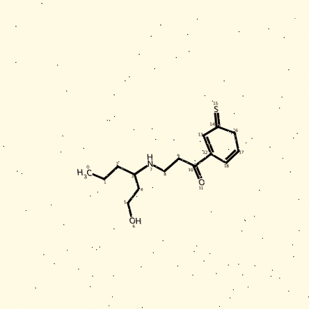 CCCC(CCO)NCCC(=O)C1=CC(=S)CC=C1